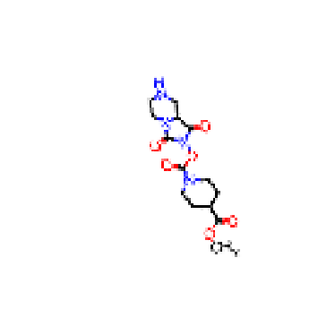 COC(=O)C1CCN(C(=O)ON2C(=O)C3CNCCN3C2=O)CC1